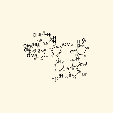 COc1cc(N2CCC(N(C)Cc3cc(Br)c4c(c3)CN(C3CCC(=O)NC3=O)C4=O)CC2)ccc1Nc1ncc(Cl)c(Nc2ccccc2P(=O)(OC)OC)n1